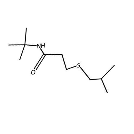 CC(C)CSCCC(=O)NC(C)(C)C